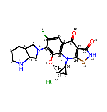 COc1c(N2CC3CCCNC3C2)c(F)cc2c(=O)c3c(=O)[nH]sc3n(C3CC3)c12.Cl